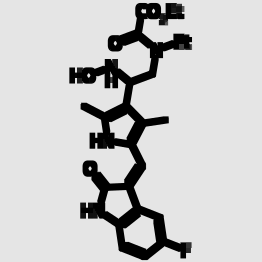 C[CH]OC(=O)C(=O)N(CC)CC(NO)c1c(C)[nH]c(/C=C2\C(=O)Nc3ccc(F)cc32)c1C